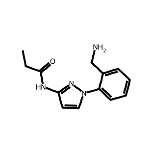 CCC(=O)Nc1ccn(-c2ccccc2CN)n1